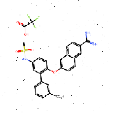 CS(=O)(=O)Nc1ccc(Oc2ccc3cc(C(=N)N)ccc3c2)c(-c2cccc(C(=O)O)c2)c1.O=C(O)C(F)(F)F